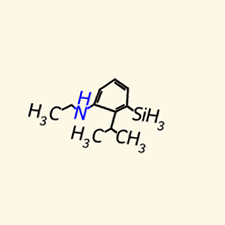 CCNc1cccc([SiH3])c1C(C)C